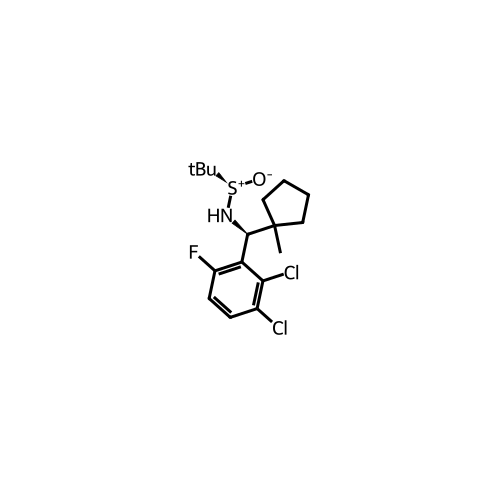 CC1([C@H](N[S@+]([O-])C(C)(C)C)c2c(F)ccc(Cl)c2Cl)CCCC1